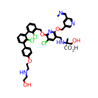 C/N=C\c1cncc(COc2nc(OCc3cccc(-c4cccc(-c5ccc(OCCNCCO)cc5)c4Cl)c3Cl)c(Cl)cc2CN[C@@](C)(CO)C(=O)O)c1